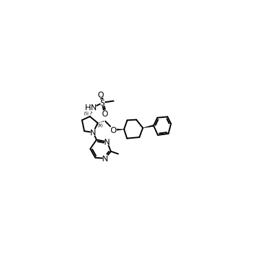 Cc1nccc(N2CC[C@H](NS(C)(=O)=O)[C@@H]2CO[C@H]2CC[C@@H](c3ccccc3)CC2)n1